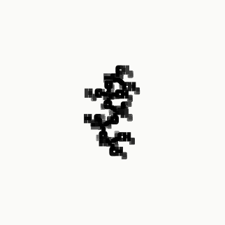 C[SiH](C)O[SiH](C)O[SiH](C)O[Si](C)(C)O[SiH](C)C